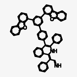 N=C/C(=C1\NC(c2ccccc2)=C(c2ccc(-c3cc(-c4cccc5c4oc4ccccc45)cc(-c4cccc5c4oc4ccccc45)c3)cc2)c2ccccc21)c1ccccc1